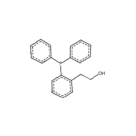 OCCc1ccccc1P(c1ccccc1)c1ccccc1